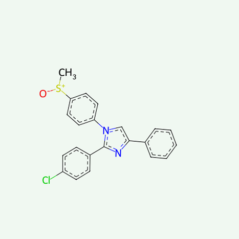 C[S+]([O-])c1ccc(-n2cc(-c3ccccc3)nc2-c2ccc(Cl)cc2)cc1